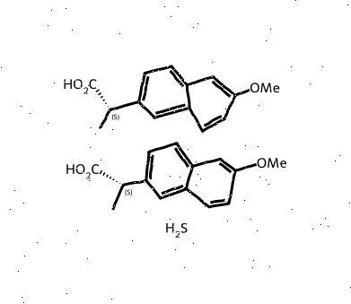 COc1ccc2cc([C@H](C)C(=O)O)ccc2c1.COc1ccc2cc([C@H](C)C(=O)O)ccc2c1.S